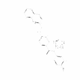 C=C(c1ccc(OCc2ccc3ccccc3n2)cc1)C(c1ccc(F)cc1)n1ncnn1